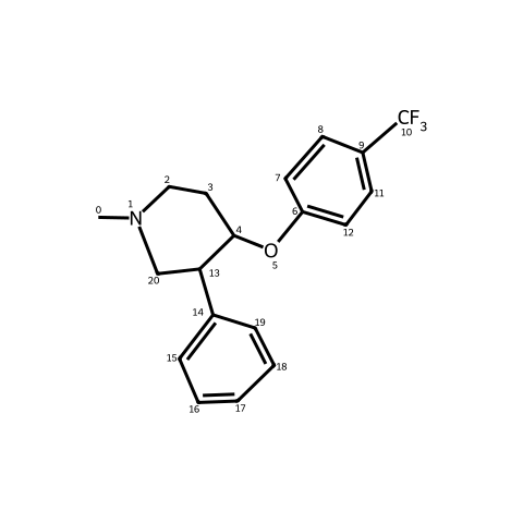 CN1CCC(Oc2ccc(C(F)(F)F)cc2)C(c2ccccc2)C1